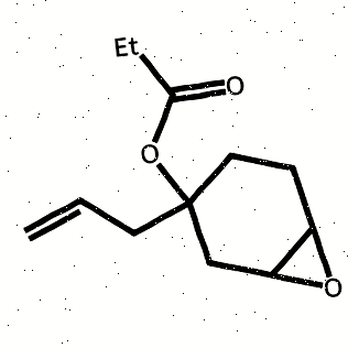 C=CCC1(OC(=O)CC)CCC2OC2C1